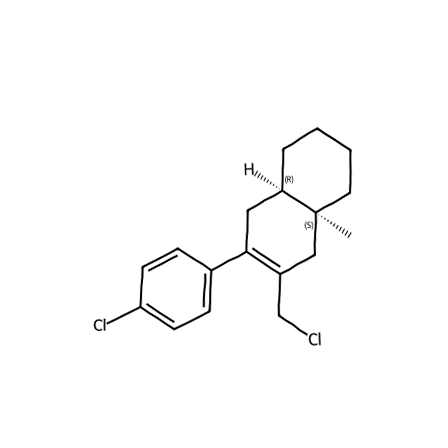 C[C@@]12CCCC[C@@H]1CC(c1ccc(Cl)cc1)=C(CCl)C2